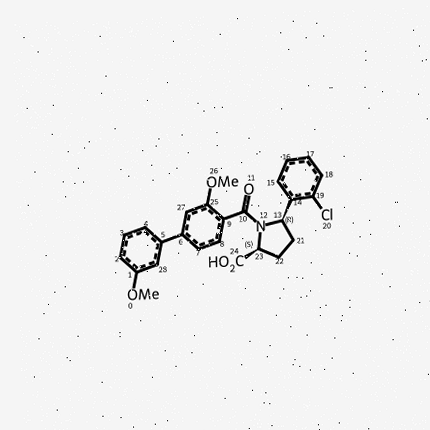 COc1cccc(-c2ccc(C(=O)N3[C@@H](c4ccccc4Cl)CC[C@H]3C(=O)O)c(OC)c2)c1